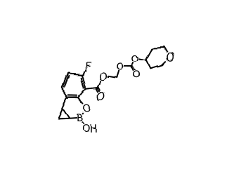 O=C(OCOC(=O)c1c(F)ccc2c1OB(O)C1CC21)OC1CCOCC1